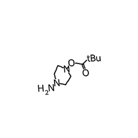 CC(C)(C)C(=O)ON1CCN(N)CC1